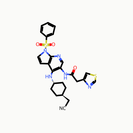 N#CC[C@H]1CC[C@H](Nc2c(NC(=O)Cc3cscn3)cnc3c2ccn3S(=O)(=O)c2ccccc2)CC1